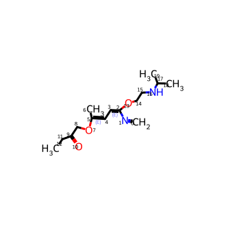 C=N/C(=C\C=C(/C)OCC(=O)CC)OCCNC(C)C